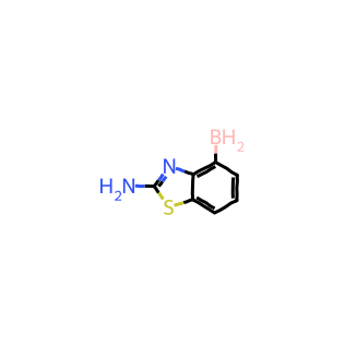 Bc1cccc2sc(N)nc12